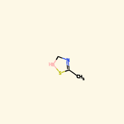 CC1=NCBS1